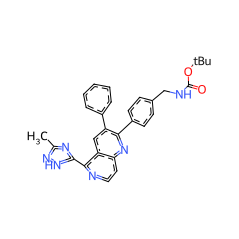 Cc1n[nH]c(-c2nccc3nc(-c4ccc(CNC(=O)OC(C)(C)C)cc4)c(-c4ccccc4)cc23)n1